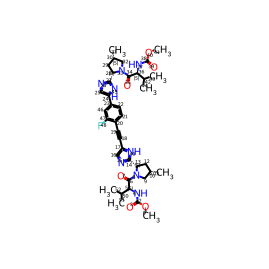 COC(=O)N[C@H](C(=O)N1C[C@@H](C)C[C@H]1c1ncc(C#Cc2ccc(-c3cnc([C@@H]4C[C@H](C)CN4C(=O)[C@@H](NC(=O)OC)C(C)C)[nH]3)cc2F)[nH]1)C(C)C